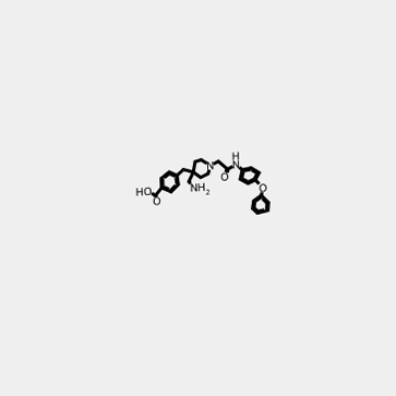 NCC1(Cc2ccc(C(=O)O)cc2)CCN(CC(=O)Nc2ccc(Oc3ccccc3)cc2)CC1